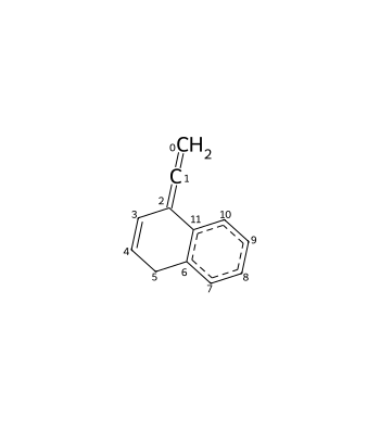 C=C=C1C=CCc2ccccc21